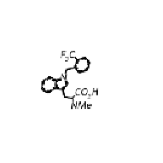 CN[C@@H](Cc1cn(Cc2ccccc2C(F)(F)F)c2ccccc12)C(=O)O